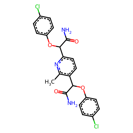 Cc1nc(C(Oc2ccc(Cl)cc2)C(N)=O)ccc1C(Oc1ccc(Cl)cc1)C(N)=O